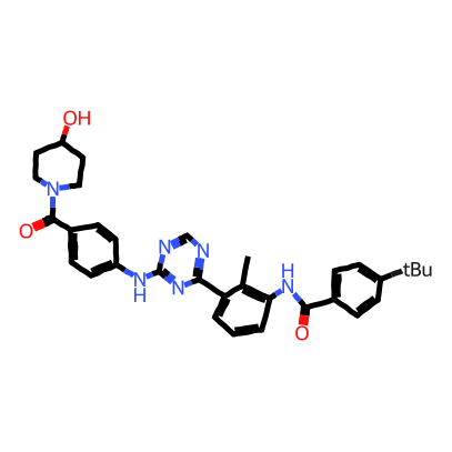 Cc1c(NC(=O)c2ccc(C(C)(C)C)cc2)cccc1-c1ncnc(Nc2ccc(C(=O)N3CCC(O)CC3)cc2)n1